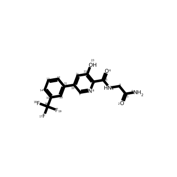 NC(=O)CNC(=O)c1ncc(-c2cccc(C(F)(F)F)c2)cc1O